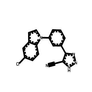 N#Cc1[nH]nnc1-c1cccc(-n2ccc3cc(Cl)ccc32)c1